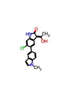 C/C(O)=C1\C(=O)Nc2cc(Cl)c(-c3ccc4c(ccn4C)c3)cc21